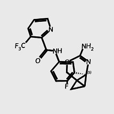 NC1=N[C@@]2(c3cc(NC(=O)c4ncccc4C(F)(F)F)ccc3F)C3CC32CO1